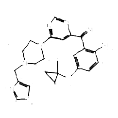 C[C@@H]1CN(c2cc(C(=N)c3cc(OC4(C)CC4)ccc3N)ncn2)CCN1Cc1cocn1